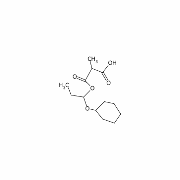 CCC(OC(=O)C(C)C(=O)O)OC1CCCCC1